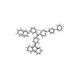 c1ccc(-c2ccc(-c3ccc(N(c4ccc(-n5c6ccccc6c6ccccc65)cc4)c4cccc(-c5ccc6ccccc6c5)c4)cc3)cc2)cc1